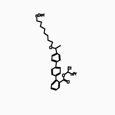 CCCCCCCCCCCCCCCCCCOC(C)c1ccc(-c2ccc(-c3ccccc3C(=O)OC(CC)CCC)cc2)cc1